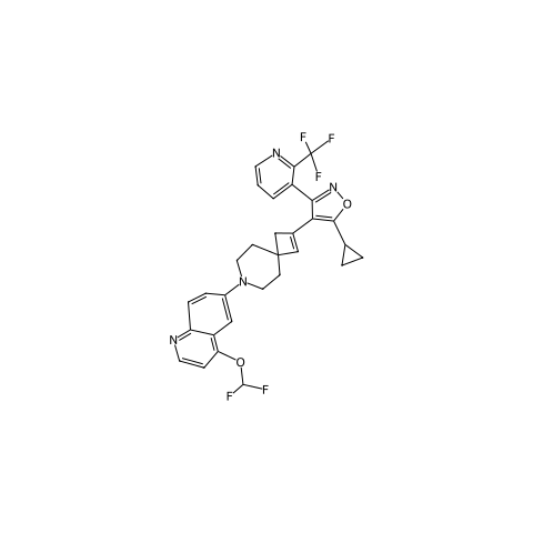 FC(F)Oc1ccnc2ccc(N3CCC4(C=C(c5c(-c6cccnc6C(F)(F)F)noc5C5CC5)C4)CC3)cc12